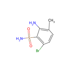 Cc1ccc(Br)c(S(N)(=O)=O)c1N